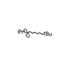 CC(C)OC(=O)CCCCCCC(C)(C)C